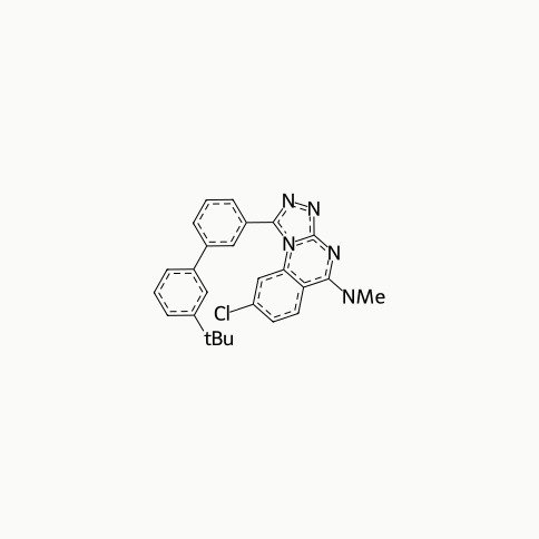 CNc1nc2nnc(-c3cccc(-c4cccc(C(C)(C)C)c4)c3)n2c2cc(Cl)ccc12